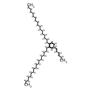 CCCCCCCCCCCCCCCCCCc1cc[n+](CCCCCC)cc1CCCCCCCCCCCCCCCCCC